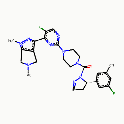 CC(=O)N1Cc2c(-c3nc(N4CCN(C(=O)N5N=CC[C@H]5c5cc(F)cc(C#N)c5)CC4)ncc3F)nn(C)c2C1